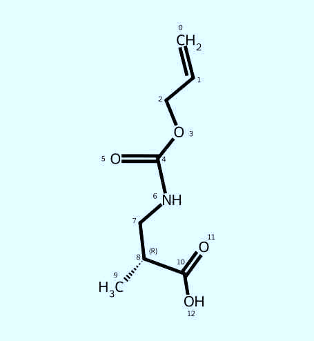 C=CCOC(=O)NC[C@@H](C)C(=O)O